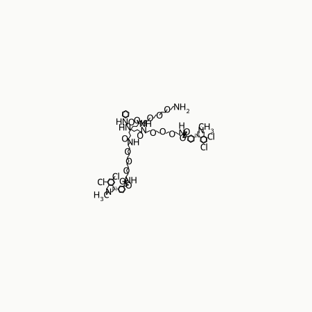 CN1Cc2c(Cl)cc(Cl)cc2[C@H](c2cccc(S(=O)(=O)NCCOCCOCCOCCNC(=O)CCC(CCC(=O)NCCOCCOCCOCCN)(CCC(=O)NCCOCCOCCOCCNS(=O)(=O)c3cccc([C@@H]4CN(C)Cc5c(Cl)cc(Cl)cc54)c3)NC(=O)Nc3ccccc3)c2)C1